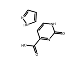 O=C(O)c1cc[nH]c(=O)n1.c1cn[nH]c1